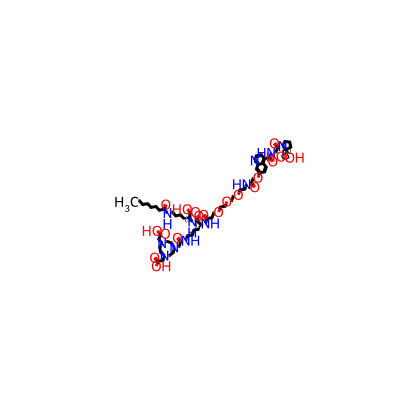 CCCCCCCC(=O)NCCCC[C@H](NC(=O)[C@H](CCCCNC(=O)CN1CCN(CC(=O)O)CCN(CC(=O)O)CC1)NC(=O)CCOCCOCCOCCNC(=O)COc1ccc2c(C(=O)NCC(=O)N3CCC[C@H]3B(O)O)ccnc2c1)C(=O)O